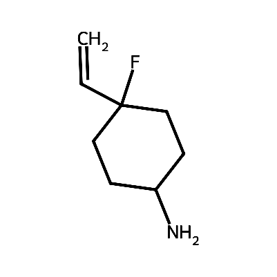 C=CC1(F)CCC(N)CC1